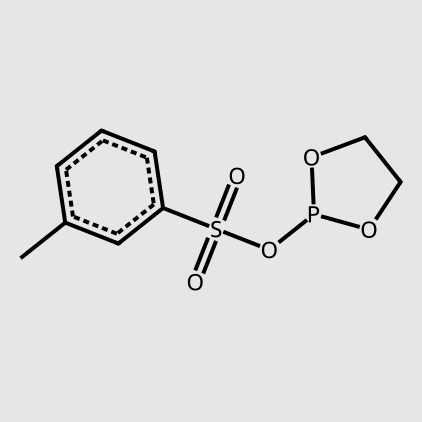 Cc1cccc(S(=O)(=O)OP2OCCO2)c1